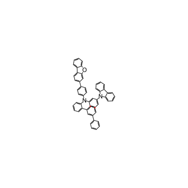 c1ccc(-c2cccc(-c3ccccc3N(c3ccc(-c4ccc5c(c4)oc4ccccc45)cc3)c3cccc(-n4c5ccccc5c5ccccc54)c3)c2)cc1